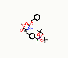 COC(=O)[C@@H](Cc1ccc(C(F)P(=O)(OC(C)(C)C)OC(C)(C)C)cc1)NC(=O)OCc1ccccc1